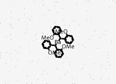 COc1ccccc1[CH]([Ba][CH](c1ccccc1OC)c1ccccc1OC)c1ccccc1OC